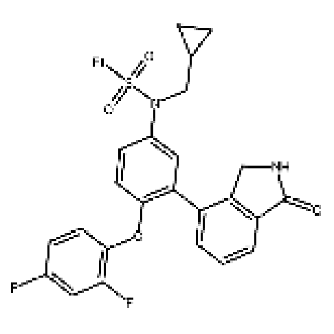 CCS(=O)(=O)N(CC1CC1)c1ccc(Oc2ccc(F)cc2F)c(-c2cccc3c2CNC3=O)c1